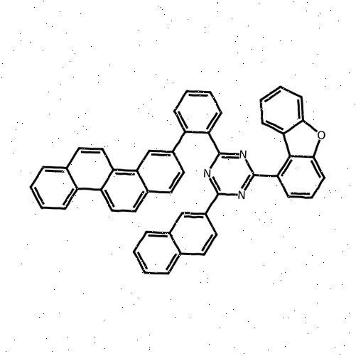 c1ccc(-c2nc(-c3ccc4ccccc4c3)nc(-c3cccc4oc5ccccc5c34)n2)c(-c2ccc3ccc4c5ccccc5ccc4c3c2)c1